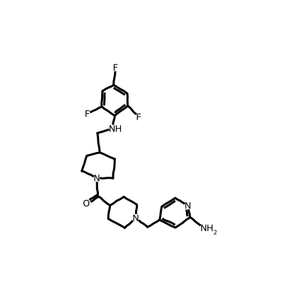 Nc1cc(CN2CCC(C(=O)N3CCC(CNc4c(F)cc(F)cc4F)CC3)CC2)ccn1